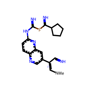 CN/C=C(\C=N)c1cnc2ccc(NC(=N)SC(=N)C3CCCC3)nc2c1